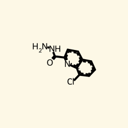 NNC(=O)c1ccc2cccc(Cl)c2n1